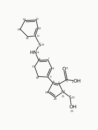 O=C(O)c1c(C2=CC=C(NSC3=CC=CCC3)CC2)ccn1SO